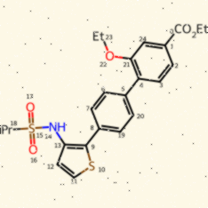 CCOC(=O)c1ccc(-c2ccc(-c3sccc3NS(=O)(=O)C(C)C)cc2)c(OCC)c1